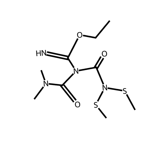 CCOC(=N)N(C(=O)N(C)C)C(=O)N(SC)SC